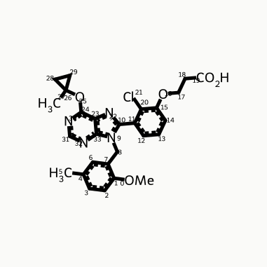 COc1ccc(C)cc1Cn1c(-c2cccc(OCCC(=O)O)c2Cl)nc2c(OC3(C)CC3)ncnc21